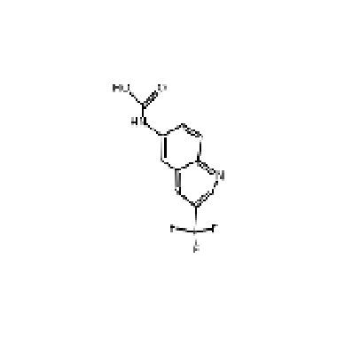 O=C(O)Nc1ccc2ncc(C(F)(F)F)nc2c1